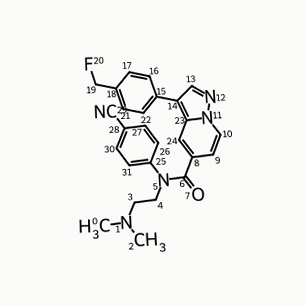 CN(C)CCN(C(=O)c1ccn2ncc(-c3ccc(CF)cc3)c2c1)c1ccc(C#N)cc1